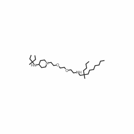 CCCCCCCC(C)(CCCC)CNCCOCCOCCN1CCC(NC(C)(CC)CC)CC1